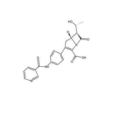 C[C@@H](O)[C@H]1C(=O)N2C(C(=O)O)=C(c3ccc(NC(=O)c4cccnc4)cc3)C[C@H]12